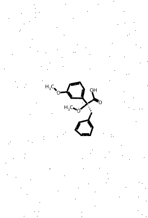 COc1cccc([C@](Cc2ccccc2)(OC)C(=O)O)c1